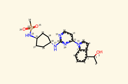 CC(O)c1cccc2c1ccn2-c1ccnc(N[C@H]2CC[C@H](NS(C)(=O)=O)CC2)n1